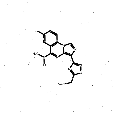 CCN(C)c1nc2c(-c3noc(COC)n3)ncn2c2ccc(Cl)cc12